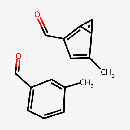 Cc1cc(C=O)c2cc1-2.Cc1cccc(C=O)c1